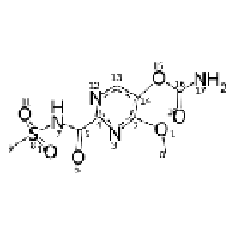 COc1nc(C(=O)NS(C)(=O)=O)ncc1OC(N)=O